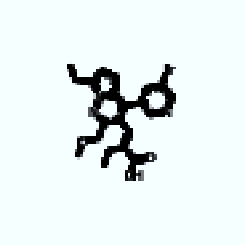 CCC(=Cc1c(COC)nn2c(CC)ccc2c1-c1cncc(Br)c1)C(=O)O